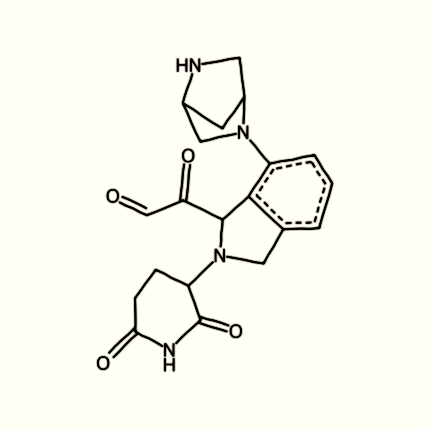 O=CC(=O)C1c2c(cccc2N2CC3CC2CN3)CN1C1CCC(=O)NC1=O